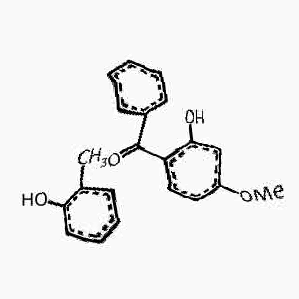 COc1ccc(C(=O)c2ccccc2)c(O)c1.Cc1ccccc1O